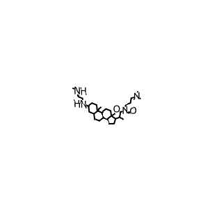 CNCCNC1CCC2(C)C(CCC3C2CCC2(C)C(C(C)C(=O)N(C=O)CCCN(C)C)CCC32)C1